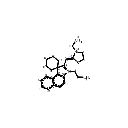 CCC[N+]1=C(/C=C2\SCCN2CC)C2(CCCCC2)c2c1ccc1ccccc21